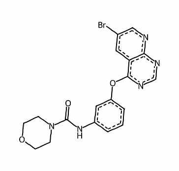 O=C(Nc1cccc(Oc2ncnc3ncc(Br)cc23)c1)N1CCOCC1